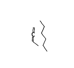 C=C=CC.CCCCCC